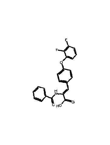 O=C(O)C(=Cc1ccc(Oc2cccc(F)c2F)cc1)NC(=O)c1ccccc1